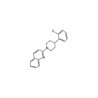 Fc1ccccc1C1CCN(c2ccc3ccccc3n2)CC1